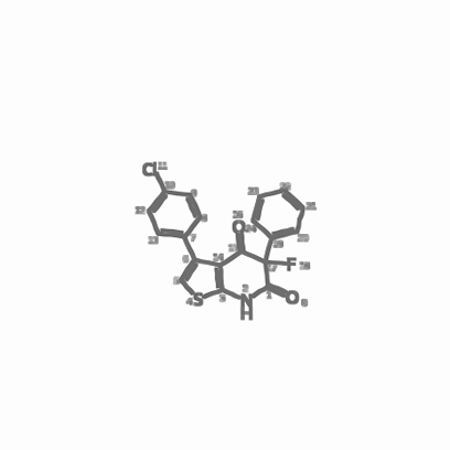 O=C1Nc2scc(-c3ccc(Cl)cc3)c2C(=O)C1(F)c1ccccc1